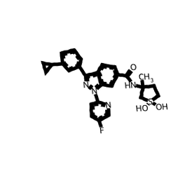 CC1(NC(=O)c2ccc3c(-c4cccc(C5CC5)c4)nn(-c4ccc(F)cn4)c3c2)CCS(O)(O)C1